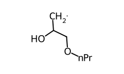 [CH2]CCOCC([CH2])O